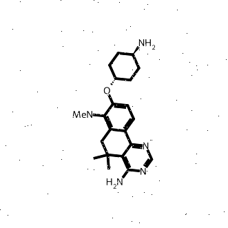 CNc1c(O[C@H]2CC[C@H](N)CC2)ccc2c1CC(C)(C)c1c(N)ncnc1-2